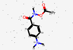 CC(C)C(=O)ON(C)C(=O)c1ccc(N(C)C)cc1